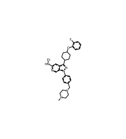 CCNc1cc2c(C3CCC(Oc4ccccc4F)CC3)nn(-c3ccc(CN4CCN(C)CC4)cc3)c2cn1